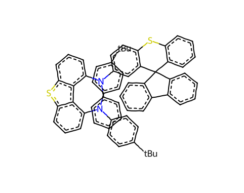 CC(C)(C)c1ccc(N(c2ccc(C(C)(C)C)cc2)c2cccc3sc4cccc(N(c5ccccc5)c5ccc6c(c5)C5(c7ccccc7S6)c6ccccc6-c6ccccc65)c4c23)cc1